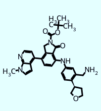 Cn1ccc2c(-c3ccc(Nc4ccc([C@H]5CCOC5)c(CN)c4)c4c3CN(C(=O)OC(C)(C)C)C4=O)ccnc21